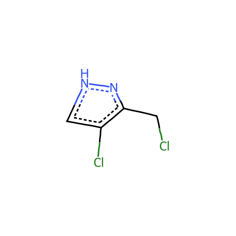 ClCc1n[nH]cc1Cl